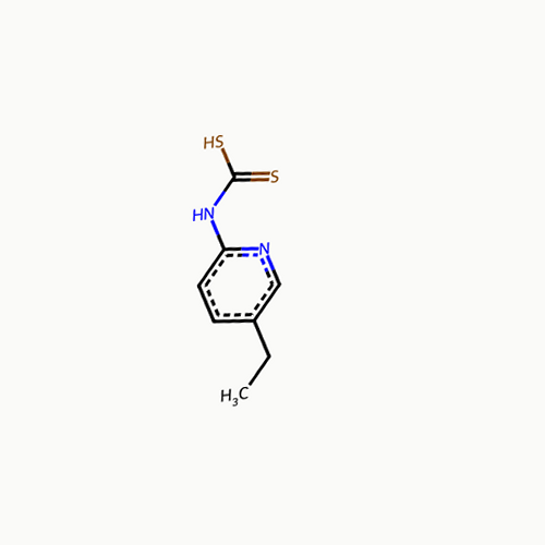 CCc1ccc(NC(=S)S)nc1